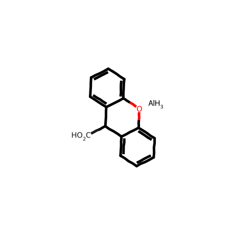 O=C(O)C1c2ccccc2Oc2ccccc21.[AlH3]